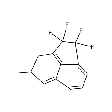 CC1C=c2cccc3c2=C(C1)C(F)(F)C3(F)F